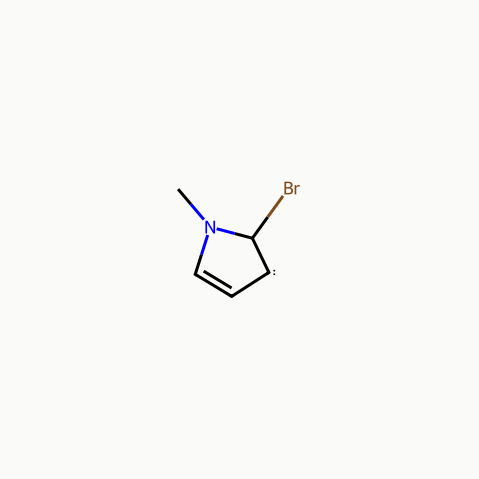 CN1C=C[C]C1Br